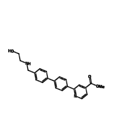 COC(=O)c1ccnc(-c2ccc(-c3ccc(CNCCO)cc3)cc2)c1